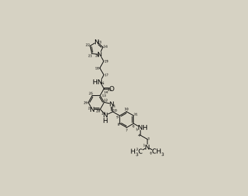 CN(C)CCNc1ccc(-c2nc3c(C(=O)NCCCn4ccnc4)ccnc3[nH]2)cc1